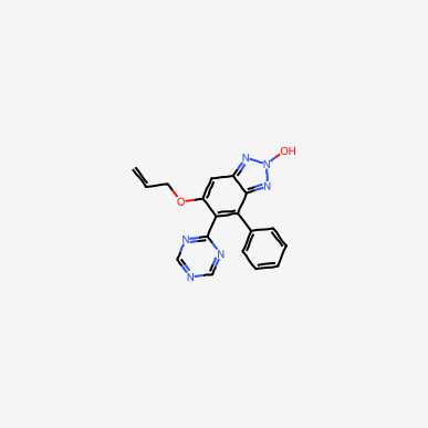 C=CCOc1cc2nn(O)nc2c(-c2ccccc2)c1-c1ncncn1